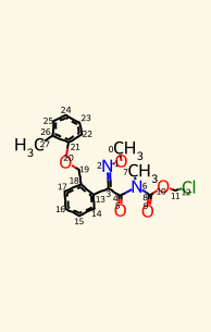 CON=C(C(=O)N(C)C(=O)OCCl)c1ccccc1COc1ccccc1C